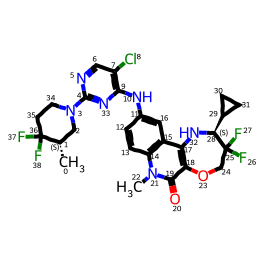 C[C@H]1CN(c2ncc(Cl)c(Nc3ccc4c(c3)c3c(c(=O)n4C)OCC(F)(F)[C@H](C4CC4)N3)n2)CCC1(F)F